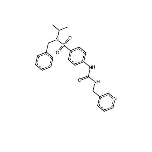 CC(C)N(Cc1ccccc1)S(=O)(=O)c1ccc(NC(=O)NCc2cccnc2)cc1